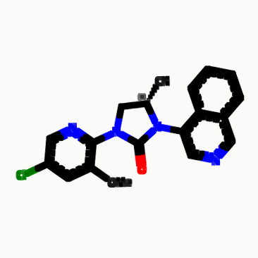 COc1cc(Cl)cnc1N1C[C@H](C#N)N(c2cncc3ccccc23)C1=O